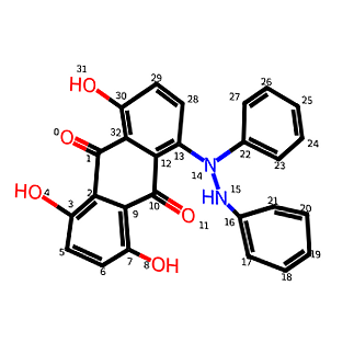 O=C1c2c(O)ccc(O)c2C(=O)c2c(N(Nc3ccccc3)c3ccccc3)ccc(O)c21